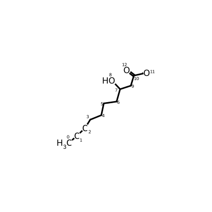 CCCCCCCC(O)CC([O])=O